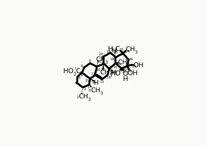 C[C@H]1[C@H](C)CC[C@]2(C(=O)O)CC[C@]3(C)C(=CC[C@@H]4[C@]5(C)[C@@H](CC[C@]43C)C(C)(C)CC(O)(O)C5(O)O)[C@H]12